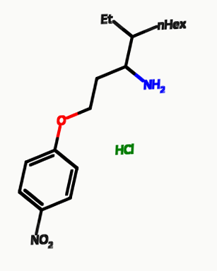 CCCCCCC(CC)C(N)CCOc1ccc([N+](=O)[O-])cc1.Cl